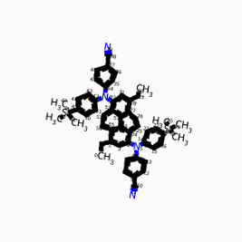 CCc1cc(N(c2ccc(C#N)cc2)c2ccc([Si](C)(C)C)cc2)c2ccc3c(CC)cc(N(c4ccc(C#N)cc4)c4ccc([Si](C)(C)C)cc4)c4ccc1c2c34